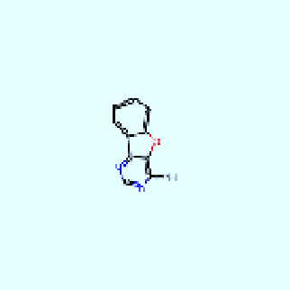 [2H]c1ncnc2c1oc1ccccc12